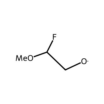 COC(F)C[O]